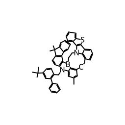 Cc1cc2c3c(c1)N(Cc1ccc(C(C)(C)C)cc1-c1ccccc1)c1ccc4c(c1B3CCn1c3c(cccc3c3sc5ccccc5c31)CC2)-c1ccccc1C4(C)C